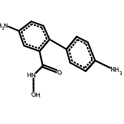 Nc1ccc(-c2ccc(N)cc2C(=O)NO)cc1